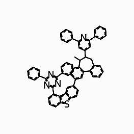 CC1c2ccc(-c3ccc4sc5cccc(-c6nc(-c7ccccc7)nc(-c7ccccc7)n6)c5c4c3)cc2-c2ccccc2CC1c1cc(-c2ccccc2)nc(-c2ccccc2)c1